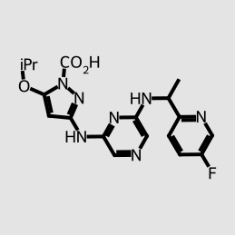 CC(C)Oc1cc(Nc2cncc(NC(C)c3ccc(F)cn3)n2)nn1C(=O)O